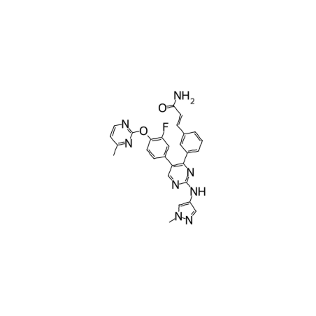 Cc1ccnc(Oc2ccc(-c3cnc(Nc4cnn(C)c4)nc3-c3cccc(C=CC(N)=O)c3)cc2F)n1